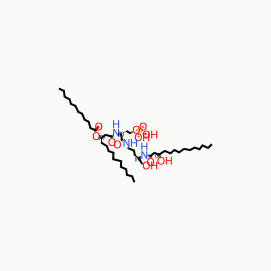 CCCCCCCCCCCC(=O)O[C@H](CCCCCCCCCCC)CC(=O)N[C@H](CCOP(=O)(O)O)C(=O)NCCC[C@H](CO)NC(=O)C[C@H](O)CCCCCCCCCCC